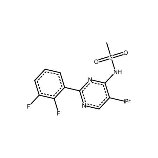 CC(C)c1cnc(-c2cccc(F)c2F)nc1NS(C)(=O)=O